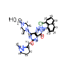 CC1CN(C(=O)O)CCN1c1nc(OCC2CCCN2C)nc(C(=O)Nc2cccc3cccc(Cl)c23)c1N